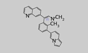 C=N/C=C(/c1ccc2cccnc2c1)c1cccc(-c2ccc3cccn3c2)c1C